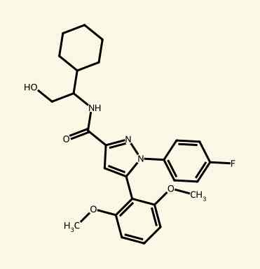 COc1cccc(OC)c1-c1cc(C(=O)NC(CO)C2CCCCC2)nn1-c1ccc(F)cc1